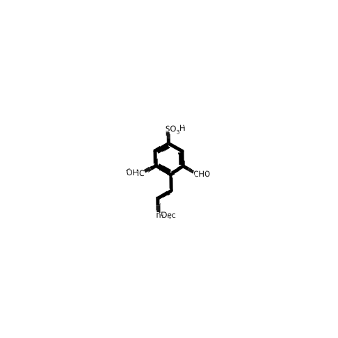 CCCCCCCCCCCCc1c(C=O)cc(S(=O)(=O)O)cc1C=O